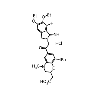 CCOc1cc2c(c(F)c1OCC)C(=N)N(CC(=O)c1cc3c(c(C(C)(C)C)c1)OC(CC(=O)O)CN3C)C2.Cl